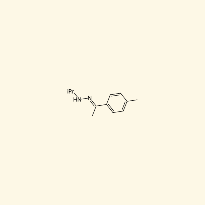 C/C(=N\NC(C)C)c1ccc(C)cc1